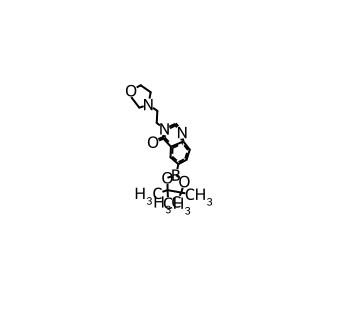 CC1(C)OB(c2ccc3ncn(CCN4CCOCC4)c(=O)c3c2)OC1(C)C